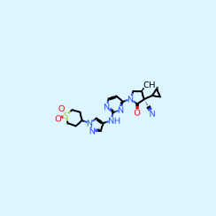 C[C@@H]1CN(c2ccnc(Nc3cnn(C4CCS(=O)(=O)CC4)c3)n2)C(=O)[C@]1(C#N)C1CC1